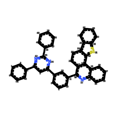 c1ccc(-c2cc(-c3cccc(-c4nc5ccccc5c5c4ccc4c6ccccc6sc45)c3)nc(-c3ccccc3)n2)cc1